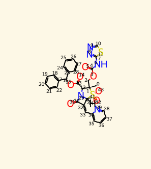 C[C@]1(COC(=O)Nc2nncs2)[C@H](C(=O)OC(c2ccccc2)c2ccccc2)N2C(=O)/C(=C/c3ccccn3)[C@H]2S1(=O)=O